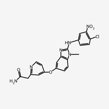 Cn1c(Nc2ccc(Cl)c([N+](=O)[O-])c2)nc2cc(Oc3ccnc(CC(N)=O)c3)ccc21